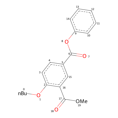 CCCCOc1ccc(C(=O)Oc2ccccc2)cc1C(=O)OC